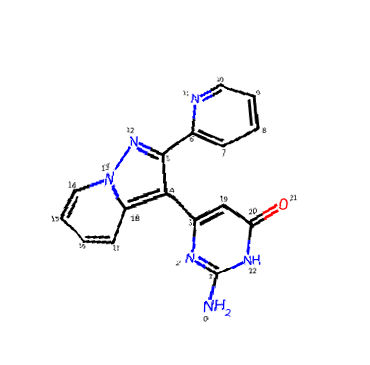 Nc1nc(-c2c(-c3ccccn3)nn3ccccc23)cc(=O)[nH]1